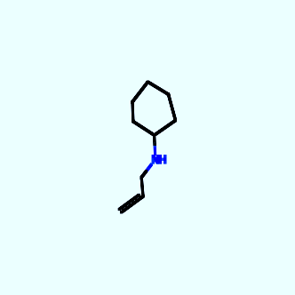 C=CCNC1CCCCC1